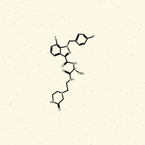 CC(C)(C)[C@H](NC(=O)c1nn(Cc2ccc(F)cc2)c2c(F)cccc12)C(=O)NCCN1CCNC(=O)C1